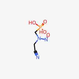 N#CCN(CP(=O)(O)O)N=O